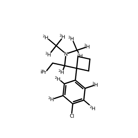 [2H]c1c([2H])c(C2(C([2H])(CC(C)C)N(C([2H])([2H])[2H])C([2H])([2H])[2H])CCC2)c([2H])c([2H])c1Cl